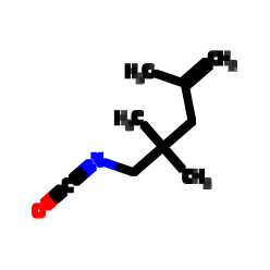 C=C(C)CC(C)(C)CN=C=O